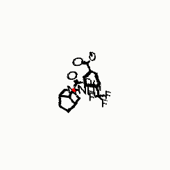 COC(=O)c1ccc(C(F)(F)F)c(NCC2C3CCC2CN(C(=O)O)C3)c1